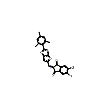 CCc1cc2c(cc1Cl)C(=O)/C(=C\c1cc3oc(-c4c(C)cc(C)cc4C)nc3o1)C2=O